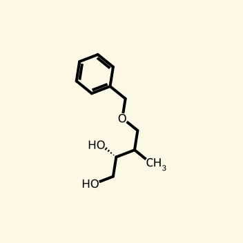 CC(COCc1ccccc1)[C@@H](O)CO